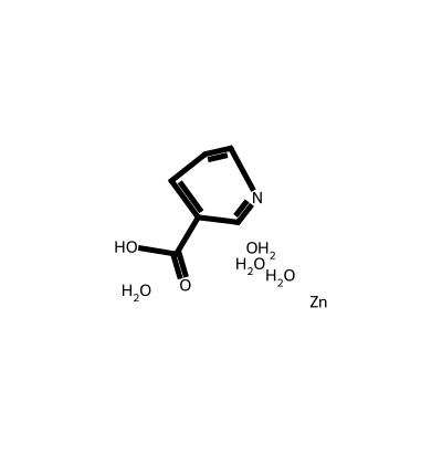 O.O.O.O.O=C(O)c1cccnc1.[Zn]